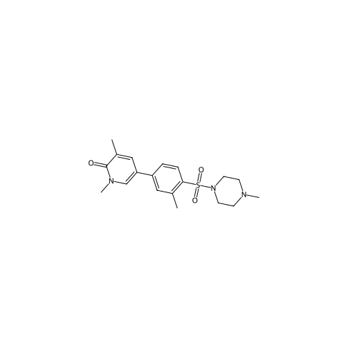 Cc1cc(-c2cc(C)c(=O)n(C)c2)ccc1S(=O)(=O)N1CCN(C)CC1